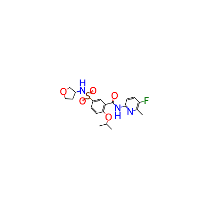 Cc1nc(NC(=O)c2cc(S(=O)(=O)N[C@H]3CCOC3)ccc2OC(C)C)ccc1F